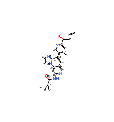 C=CC[C@H](O)c1cc(C)c(-c2cc3cnc(NC(=O)[C@H]4C[C@H]4F)cc3n3ccnc23)cn1